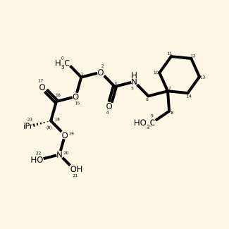 CC(OC(=O)NCC1(CC(=O)O)CCCCC1)OC(=O)[C@H](ON(O)O)C(C)C